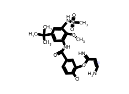 COc1c(NC(=O)c2ccc(Cl)c(OC(=N)/C=C\N)c2)cc(C(C)(C)C)cc1NS(C)(=O)=O